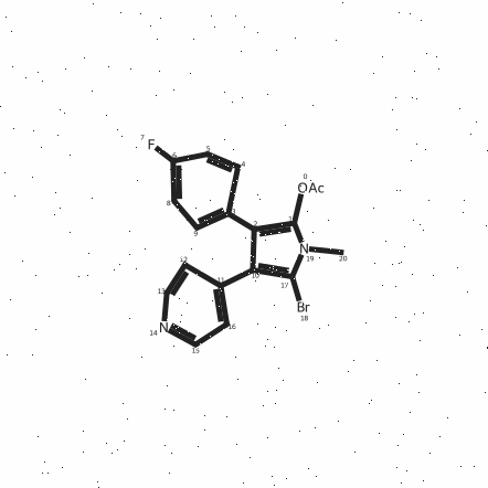 CC(=O)Oc1c(-c2ccc(F)cc2)c(-c2ccncc2)c(Br)n1C